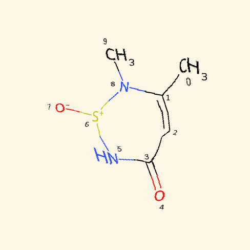 CC1=CC(=O)N[S+]([O-])N1C